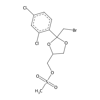 CS(=O)(=O)OCC1COC(CBr)(c2ccc(Cl)cc2Cl)O1